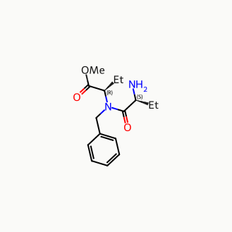 CC[C@H](C(=O)OC)N(Cc1ccccc1)C(=O)[C@@H](N)CC